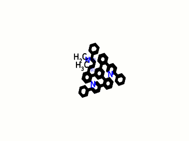 C=N/C(=C\C=C(/C)c1ccccc1-c1cc(-c2ccccc2-c2ccc(C3=CCCCC3)nc2)cc(-c2ccccc2-c2ccc(C3=CCCCC3)nc2)c1)C1=CCCCC1